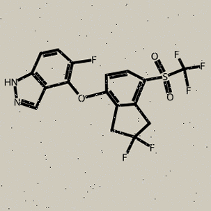 O=S(=O)(c1ccc(Oc2c(F)ccc3[nH]ncc23)c2c1CC(F)(F)C2)C(F)(F)F